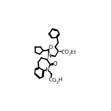 CCOC(=O)[C@H](CCc1ccccc1)CN(C(=O)C1CCCC1)[C@H]1CCc2ccccc2N(CC(=O)O)C1=O